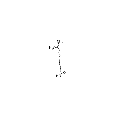 C=CC(=C)CCCCCCCCC(=O)O